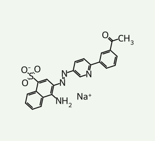 CC(=O)c1cccc(-c2ccc(N=Nc3cc(S(=O)(=O)[O-])c4ccccc4c3N)cn2)c1.[Na+]